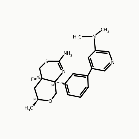 C[C@H]1C[C@@]2(F)CSC(N)=N[C@@]2(c2cccc(-c3cncc(N(C)C)c3)c2)CO1